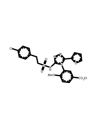 CCOC(=O)c1ccc(OC)c(-n2c(NS(=O)(=O)CCc3ccc(Cl)cc3)nnc2-c2cccs2)c1